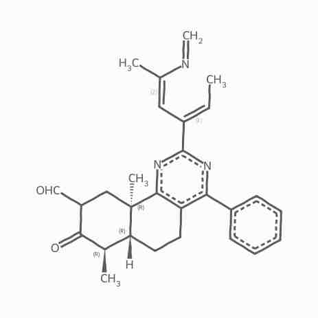 C=N/C(C)=C\C(=C/C)c1nc(-c2ccccc2)c2c(n1)[C@]1(C)CC(C=O)C(=O)[C@H](C)[C@H]1CC2